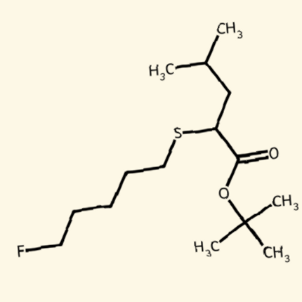 CC(C)CC(SCCCCCF)C(=O)OC(C)(C)C